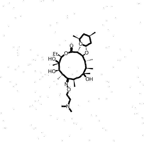 CC[C@H]1OC(=O)[C@H](C)[C@@H](O[C@H]2C[C@H](C)C[C@H](C)O2)[C@H](C)[C@@H](C)[C@](C)(O)C[C@@H](C)/C(=N\OCCN(C)C)[C@H](C)[C@@H](O)[C@]1(C)O